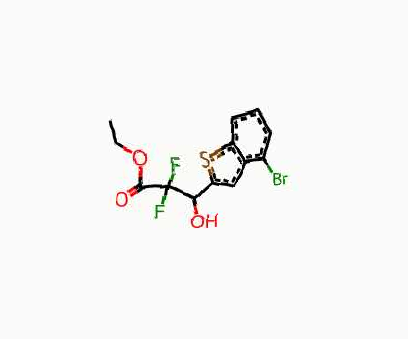 CCOC(=O)C(F)(F)C(O)c1cc2c(Br)cccc2s1